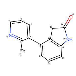 CC(C)c1ncccc1-c1cccc2c1CC(=O)N2